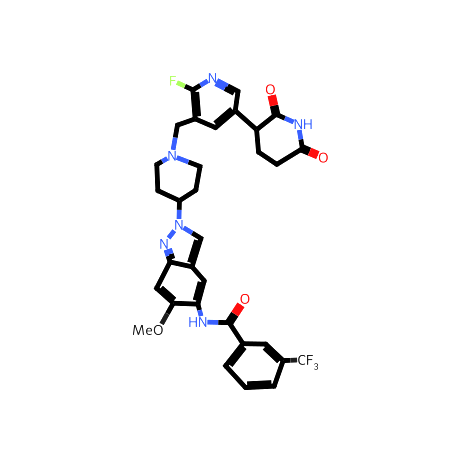 COc1cc2nn(C3CCN(Cc4cc(C5CCC(=O)NC5=O)cnc4F)CC3)cc2cc1NC(=O)c1cccc(C(F)(F)F)c1